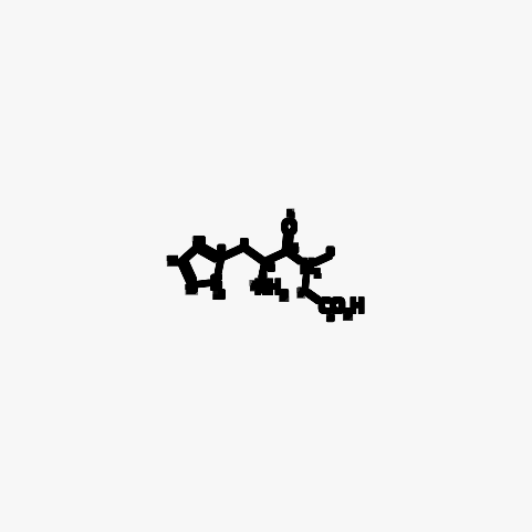 CN(CC(=O)O)C(=O)[C@@H](N)Cc1cccs1